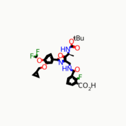 C[C@H](NC(=O)OC(C)(C)C)c1oc(-c2ccc(OC(F)F)c(OCC3CC3)c2)nc1CNC(=O)c1cccc(C(=O)O)c1F